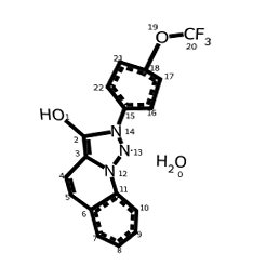 O.OC1=C2C=Cc3ccccc3N2[N]N1c1ccc(OC(F)(F)F)cc1